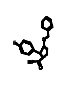 O=C(O)C1CCC(OCc2ccccc2)C1c1ccc(F)cc1